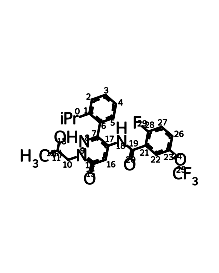 CC(C)c1ccccc1-c1nn(C[C@@H](C)O)c(=O)cc1NC(=O)c1cc(OC(F)(F)F)ccc1F